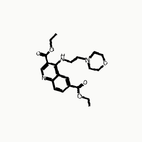 CCOC(=O)c1ccc2ncc(C(=O)OCC)c(NCCN3CCOCC3)c2c1